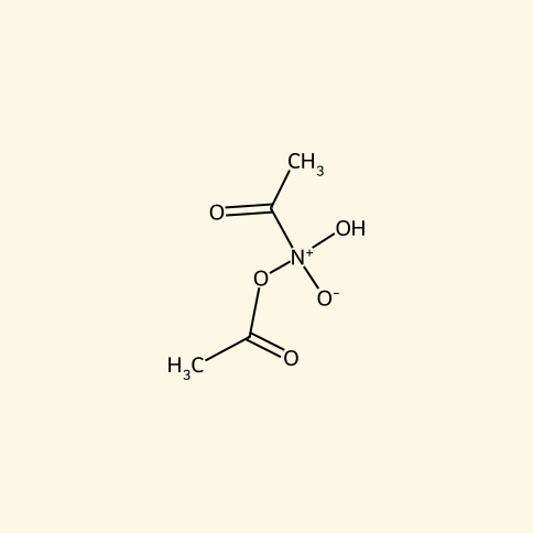 CC(=O)O[N+]([O-])(O)C(C)=O